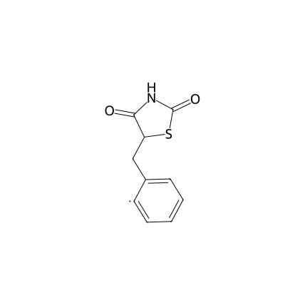 O=C1NC(=O)C(Cc2[c]cccc2)S1